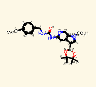 COc1ccc(CNC(=O)Nc2cc3c(B4OC(C)(C)C(C)(C)O4)cn(C(=O)O)c3cn2)cc1